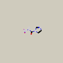 O=C(N[N+](=O)[O-])n1ccnc1